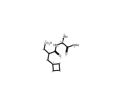 CNC(=O)[C@@H](NC(=O)C(CC(=O)O)CC1CCC1)C(C)(C)C